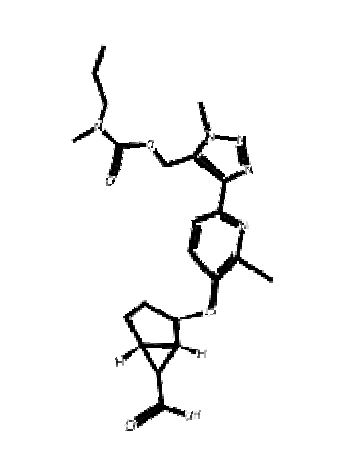 CCCN(C)C(=O)OCc1c(-c2ccc(O[C@@H]3CC[C@H]4C(C(=O)O)[C@@H]34)c(C)n2)nnn1C